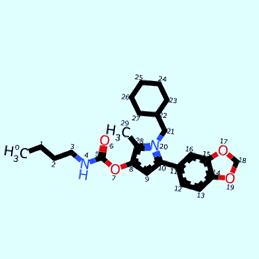 CCCCNC(=O)Oc1cc(-c2ccc3c(c2)OCO3)n(CC2CCCCC2)c1C